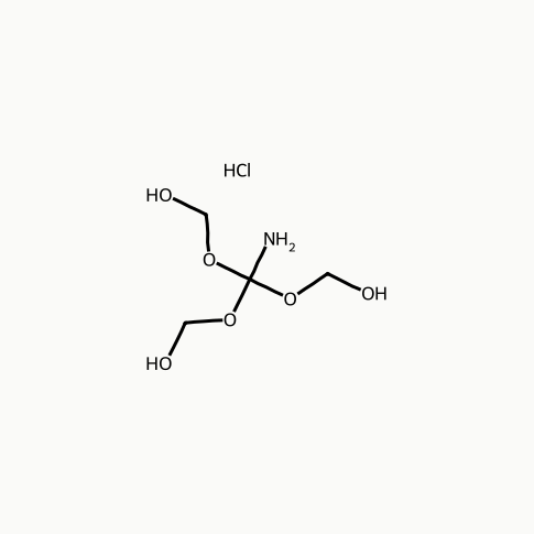 Cl.NC(OCO)(OCO)OCO